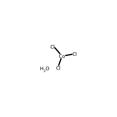 O.[Cl][Co]([Cl])[Cl]